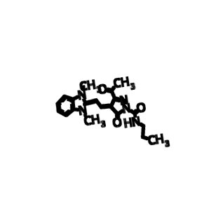 CCCNC(=O)N1N=C(C(C)=O)/C(=C\C=C2N(C)c3ccccc3N2C)C1=O